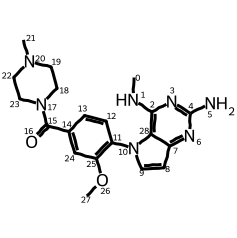 CNc1nc(N)nc2ccn(-c3ccc(C(=O)N4CCN(C)CC4)cc3OC)c12